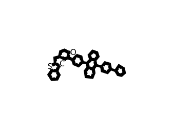 c1ccc(-c2ccc(-c3c4ccccc4c(-c4ccc5c(c4)oc4ccc6cc7sc8ccccc8c7cc6c45)c4ccccc34)cc2)cc1